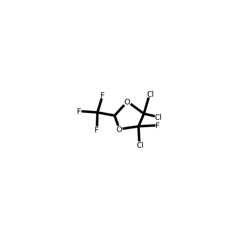 FC(F)(F)C1OC(F)(Cl)C(Cl)(Cl)O1